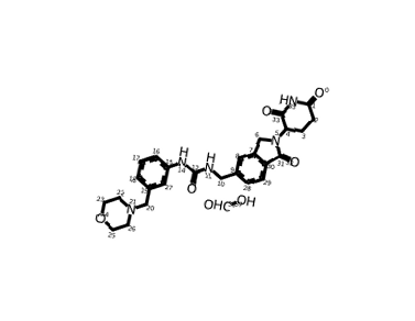 O=C1CCC(N2Cc3cc(CNC(=O)Nc4cccc(CN5CCOCC5)c4)ccc3C2=O)C(=O)N1.O=CO